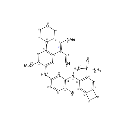 CN/C=C(\C=N)c1cc(Nc2ncc(Br)c(Nc3cc4c(cc3P(C)(C)=O)CC4)n2)c(OC)cc1N1CCOCC1